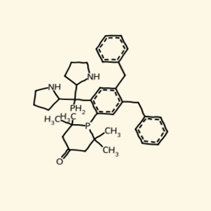 CC1(C)CC(=O)CC(C)(C)P1c1cc(Cc2ccccc2)c(Cc2ccccc2)cc1C(P)(C1CCCN1)C1CCCN1